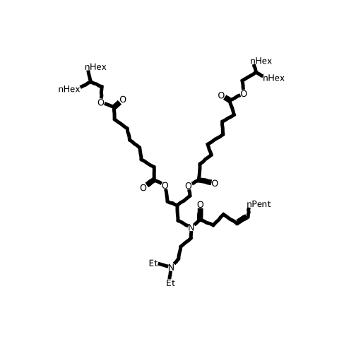 CCCCC/C=C\CCC(=O)N(CCCN(CC)CC)CC(COC(=O)CCCCCCC(=O)OCC(CCCCCC)CCCCCC)COC(=O)CCCCCCC(=O)OCC(CCCCCC)CCCCCC